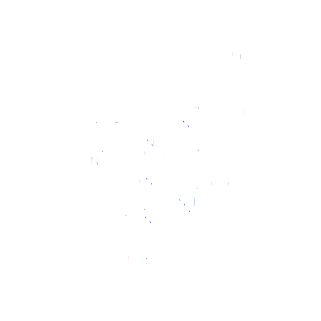 CC(C)(C)c1ccc2sc(-c3c(NC4CCCNC4)nc(N4CCOCC4)[nH]c3=O)nc2c1